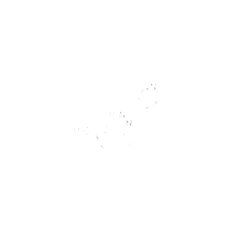 Cc1ccc(C(=O)N(N)Cc2ccncc2)s1